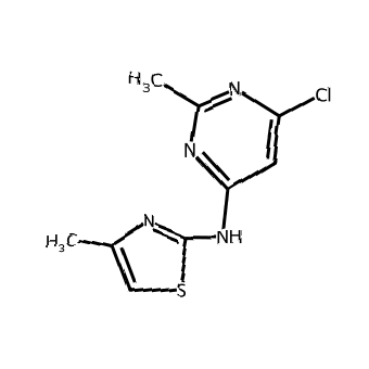 Cc1csc(Nc2cc(Cl)nc(C)n2)n1